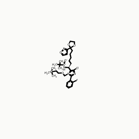 CC(C)(C)[S+]([O-])N[C@@H](CCCCCC1(c2ccon2)OCCO1)c1c(Cl)nc(-c2ccccc2F)n1COCC[Si](C)(C)C